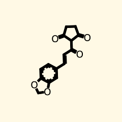 O=C(/C=C/c1ccc2c(c1)OCO2)C1C(=O)CCC1=O